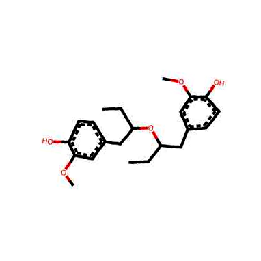 CCC(Cc1ccc(O)c(OC)c1)OC(CC)Cc1ccc(O)c(OC)c1